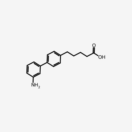 Nc1cccc(-c2ccc(CCCCC(=O)O)cc2)c1